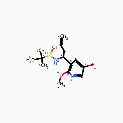 C=CCC(N[S+]([O-])C(C)(C)C)c1cc(Br)cnc1OC